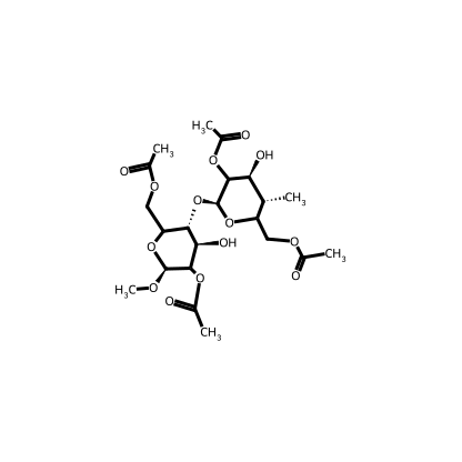 CO[C@H]1OC(COC(C)=O)[C@H](O[C@@H]2OC(COC(C)=O)[C@@H](C)[C@H](O)C2OC(C)=O)[C@@H](O)C1OC(C)=O